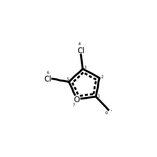 [CH2]c1cc(Cl)c(Cl)o1